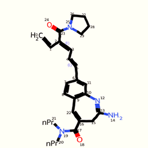 C=C/C(=C\C=C\c1ccc2c(c1)N=C(N)CC(C(=O)N(CCC)CCC)=C2)C(=O)N1CCCC1